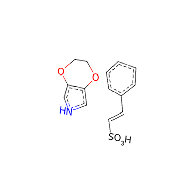 O=S(=O)(O)C=Cc1ccccc1.c1[nH]cc2c1OCCO2